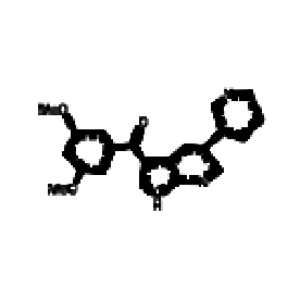 COc1cc(OC)cc(C(=O)c2c[nH]c3ncc(-c4cccnc4)cc23)c1